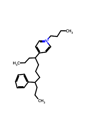 CCCC[n+]1ccc(C(CCC)CCCC(CCC)c2ccccc2)cc1